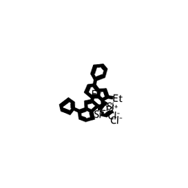 CCC1=Cc2c(-c3ccccc3)cccc2[CH]1[Zr+2]1([CH]2C(CC)=Cc3c(-c4ccccc4)cccc32)=[Si]2C=C[Si]=1C=C2.[Cl-].[Cl-]